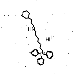 I.[I-].c1ccc([P+](CCCCCCCNCCCC2CCCCC2)(c2ccccc2)c2ccccc2)cc1